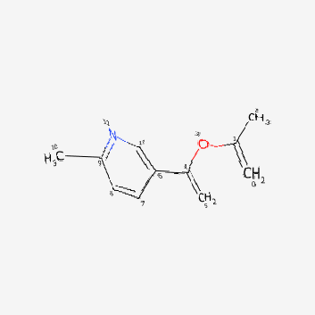 C=C(C)OC(=C)c1ccc(C)nc1